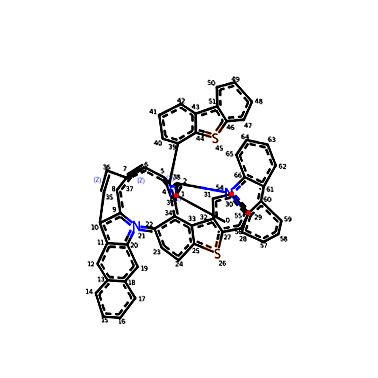 CC1C/C=c2c(/c3ccc4c(c5cc6ccccc6cc5n4c4ccc5sc6ccccc6c5c/24)\C=C/C=3)=C(c2cccc3c2sc2ccccc23)\N=C/1n1c2ccccc2c2ccccc21